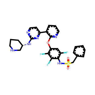 O=S(=O)(Cc1ccccc1)Nc1c(F)cc(Oc2ncccc2-c2ccnc(N[C@H]3CCCNC3)n2)c(F)c1F